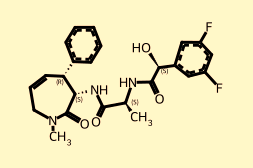 C[C@H](NC(=O)[C@@H](O)c1cc(F)cc(F)c1)C(=O)N[C@@H]1C(=O)N(C)CC=C[C@@H]1c1ccccc1